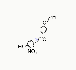 CC(C)CCOc1ccc(C(=O)/C=C/c2ccc(O)c([N+](=O)[O-])c2)cc1